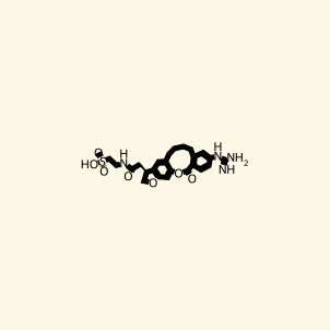 N=C(N)Nc1ccc2c(c1)CCCCc1cc3c(cc1OC2=O)OC[C@H]3CC(=O)NCCS(=O)(=O)O